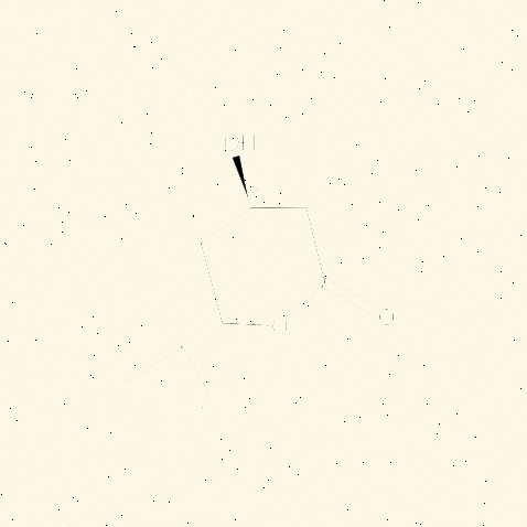 CC(C)(C)[C@@H]1C[C@@H](O)CC(=O)O1